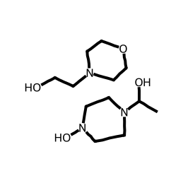 CC(O)N1CCN(O)CC1.OCCN1CCOCC1